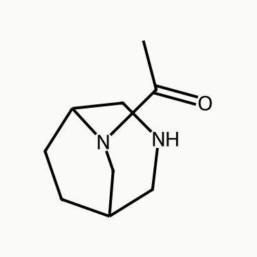 CC(=O)N1CC2CCC1CNC2